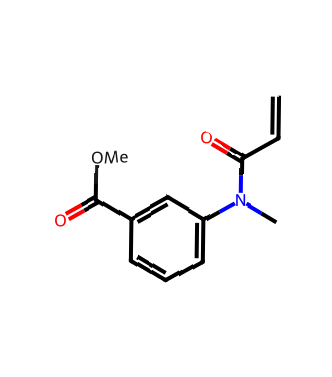 C=CC(=O)N(C)c1cccc(C(=O)OC)c1